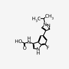 CC(C)n1cc(-c2cc(F)c3[nH]cc(NC(=O)O)c3c2)cn1